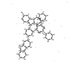 Cc1ccc2c(c1)c1ccccc1n2-c1ccc(-c2ccc3c(c2)oc2ccccc23)cc1-c1nc(-c2ccccc2)nc(-c2ccccc2)n1